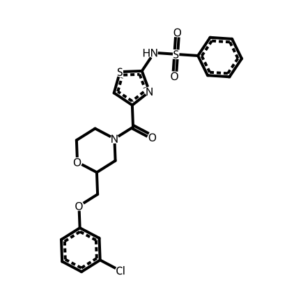 O=C(c1csc(NS(=O)(=O)c2ccccc2)n1)N1CCOC(COc2cccc(Cl)c2)C1